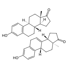 C[C@]12CC[C@@H]3c4ccc(O)cc4CC[C@H]3[C@@H]1CCC2=O.C[C@]12CC[C@H]3C(=CCc4cc(O)ccc43)[C@@H]1CCC2=O